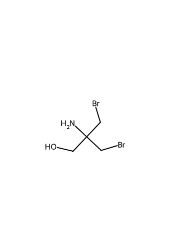 NC(CO)(CBr)CBr